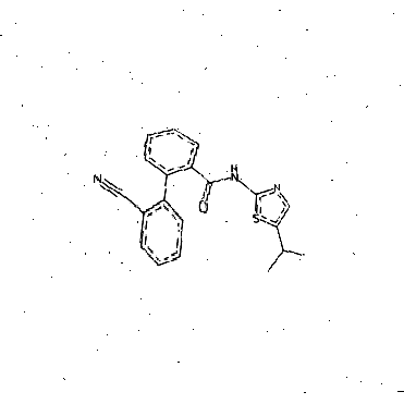 CC(C)c1cnc(NC(=O)c2ccccc2-c2ccccc2C#N)s1